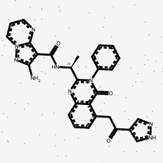 C[C@H](NC(=O)c1c(N)nn2cccnc12)c1nc2cccc(CC(=O)c3cn[nH]c3)c2c(=O)n1-c1ccccc1